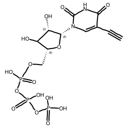 C#Cc1cn([C@@H]2O[C@H](COP(=O)(O)OP(=O)(O)OP(=O)(O)O)C(O)[C@@H]2O)c(=O)[nH]c1=O